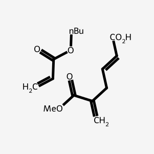 C=C(CC=CC(=O)O)C(=O)OC.C=CC(=O)OCCCC